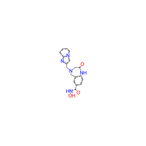 O=C1CN(Cc2cn3ccccc3n2)Cc2cc(C(=O)NO)ccc2N1